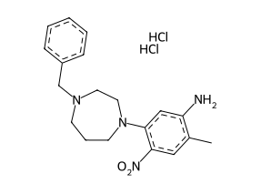 Cc1cc([N+](=O)[O-])c(N2CCCN(Cc3ccccc3)CC2)cc1N.Cl.Cl